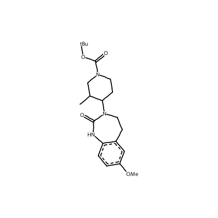 COc1ccc2c(c1)CCN(C1CCN(C(=O)OC(C)(C)C)CC1C)C(=O)N2